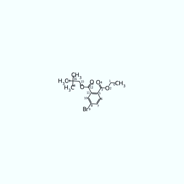 CCOC(=O)c1ccc(Br)cc1C(=O)OCC(C)(C)C